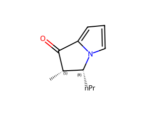 CCC[C@@H]1[C@H](C)C(=O)c2cccn21